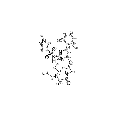 CCCN(CCC)[C@H](C)C(=O)N1CC(Oc2cc(-c3c(C)cccc3C)nc(NS(=O)(=O)c3cnn(C)c3)n2)C1